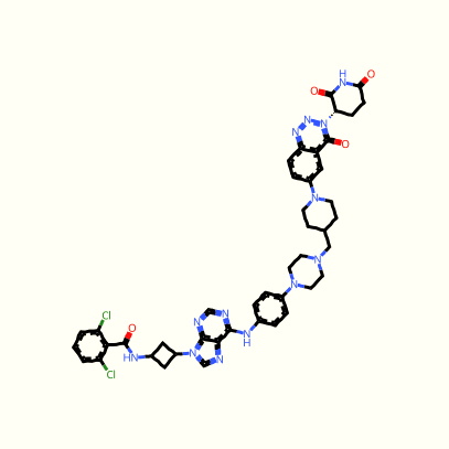 O=C1CC[C@H](n2nnc3ccc(N4CCC(CN5CCN(c6ccc(Nc7ncnc8c7ncn8C7CC(NC(=O)c8c(Cl)cccc8Cl)C7)cc6)CC5)CC4)cc3c2=O)C(=O)N1